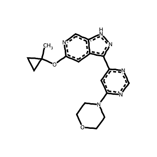 CC1(Oc2cc3c(-c4cc(N5CCOCC5)ncn4)n[nH]c3cn2)CC1